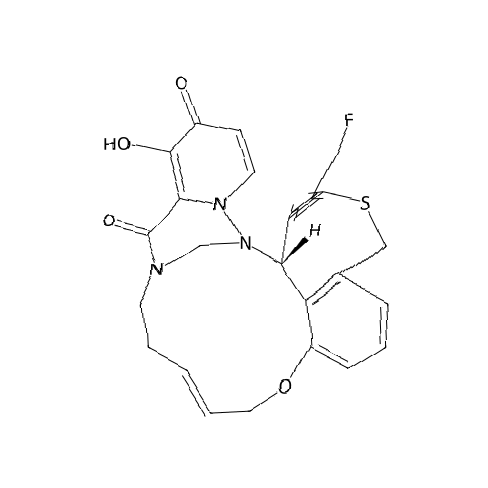 O=C1c2c(O)c(=O)ccn2N2CN1CC/C=C/COc1cccc3c1[C@H]2c1cccc(F)c1SC3